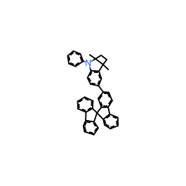 CC12CCC1(C)N(c1ccccc1)c1ccc(-c3ccc4c(c3)C3(c5ccccc5-c5ccccc53)c3ccccc3-4)cc12